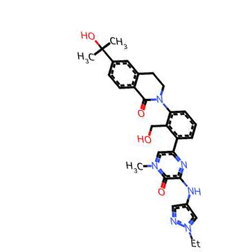 CCn1cc(Nc2nc(-c3cccc(N4CCc5cc(C(C)(C)O)ccc5C4=O)c3CO)cn(C)c2=O)cn1